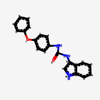 O=C(Nc1ccc(Oc2ccccc2)cc1)Nc1c[nH]c2ccccc12